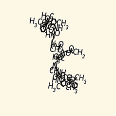 C=CC(=O)OCC(CC)(COC(=O)CCN(CC)CCNC(=O)C(=O)Nc1c(C)cc(C)c(C(=O)P(=O)(OCC)c2ccccc2)c1C)COC(=O)CCN(CC)CCNC(=O)C(=O)Nc1c(C)cc(C)c(C(=O)P(=O)(OCC)c2ccccc2)c1C